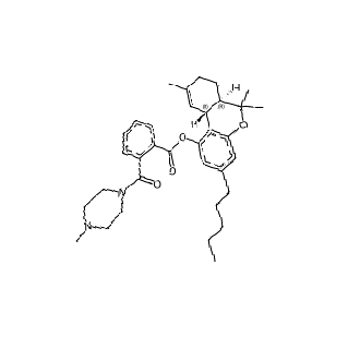 CCCCCc1cc(OC(=O)c2ccccc2C(=O)N2CCN(C)CC2)c2c(c1)OC(C)(C)[C@@H]1CCC(C)=C[C@@H]21